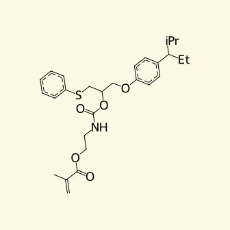 C=C(C)C(=O)OCCNC(=O)OC(COc1ccc(C(CC)C(C)C)cc1)CSc1ccccc1